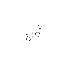 COc1cc(C(F)(F)F)c(S(=O)(=O)Nc2ccc(Cl)c(O[C@@H]3CCN(C)C3)c2)cc1F